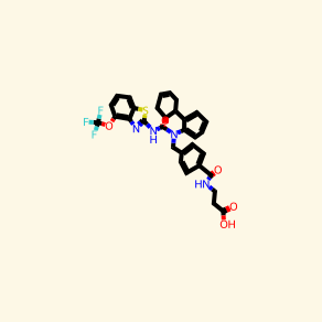 O=C(O)CCNC(=O)c1ccc(CN(C(=O)Nc2nc3c(OC(F)(F)F)cccc3s2)c2ccccc2C2CC=CCC2)cc1